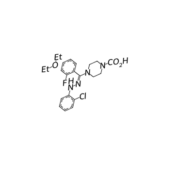 CCOCC.O=C(O)N1CCN(C(=NNc2ccccc2Cl)c2ccccc2F)CC1